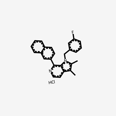 Cc1c(C)n(Cc2cccc(F)c2)c2c(-c3ccc4ccccc4c3)nccc12.Cl